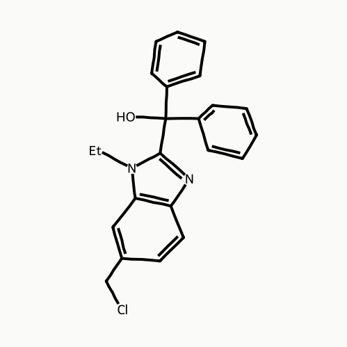 CCn1c(C(O)(c2ccccc2)c2ccccc2)nc2ccc(CCl)cc21